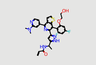 C=CC(=O)NC(C)c1cc(-c2nc(-c3ccnc(N(C)C)c3)c3ccsc3c2-c2c(F)cc(F)cc2OCCO)n[nH]1